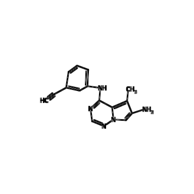 C#Cc1cccc(Nc2ncnn3cc(N)c(C)c23)c1